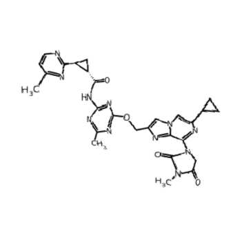 Cc1ccnc([C@H]2C[C@@H]2C(=O)Nc2nc(C)nc(OCc3cn4cc(C5CC5)nc(N5CC(=O)N(C)C5=O)c4n3)n2)n1